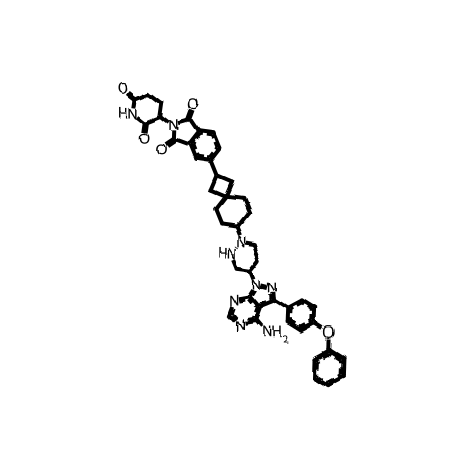 Nc1ncnc2c1c(-c1ccc(Oc3ccccc3)cc1)nn2C1CCN(C2CCC3(CC2)CC(c2ccc4c(c2)C(=O)N(C2CCC(=O)NC2=O)C4=O)C3)NC1